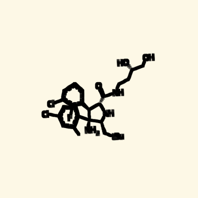 Cc1cc(Cl)ccc1[C@@]1(N)[C@H](CC(C)(C)C)N[C@@H](C(=O)NCC[C@H](O)CO)[C@@H]1c1cccc(Cl)c1F